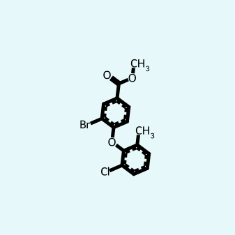 COC(=O)c1ccc(Oc2c(C)cccc2Cl)c(Br)c1